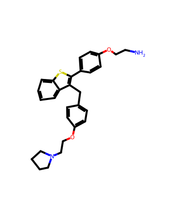 NCCOc1ccc(-c2sc3ccccc3c2Cc2ccc(OCCN3CCCC3)cc2)cc1